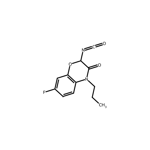 CCCN1C(=O)C(N=C=O)Oc2cc(F)[c]cc21